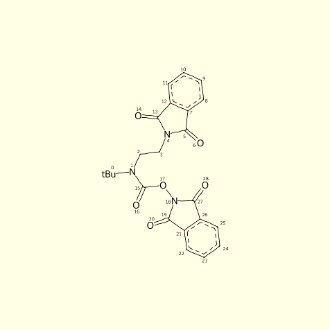 CC(C)(C)N(CCN1C(=O)c2ccccc2C1=O)C(=O)ON1C(=O)c2ccccc2C1=O